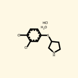 Cl.Clc1ccc(SC2CCNC2)cc1Cl.O